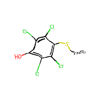 CCCCSc1c(Cl)c(Cl)c(O)c(Cl)c1Cl